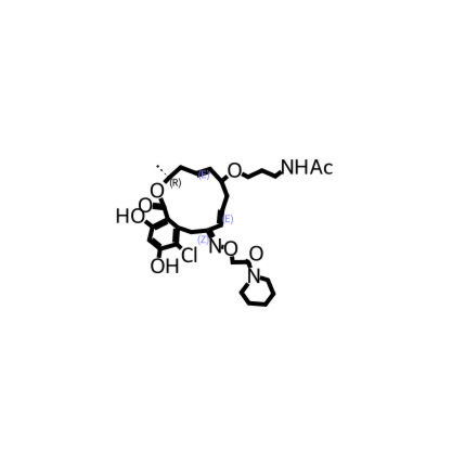 CC(=O)NCCCOC1/C=C/C[C@@H](C)OC(=O)c2c(O)cc(O)c(Cl)c2CC(=N/OCC(=O)N2CCCCC2)/C=C/C1